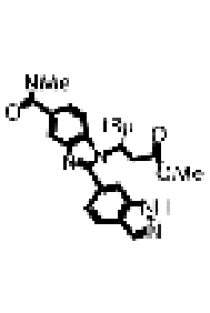 CNC(=O)c1ccc2c(c1)nc(-c1ccc3cn[nH]c3c1)n2[C@@H](CC(=O)OC)C(C)(C)C